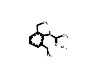 CCc1cccc(CC)c1NC(C)=O.N